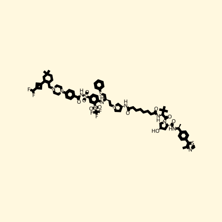 Cc1ncsc1-c1ccc([C@H](C)NC(=O)[C@@H]2C[C@@H](O)CN2C(=O)[C@@H](NC(=O)CCCCCCC(=O)N[C@@H]2CCN(CC[C@H](CSc3ccccc3)Nc3ccc(S(=O)(=O)NC(=O)c4ccc(N5CCN(CC6=C(C78CC(C(F)F)(C7)C8)CC(C)(C)CC6)CC5)cc4)cc3S(=O)(=O)C(F)(F)F)C2)C(C)(C)C)cc1